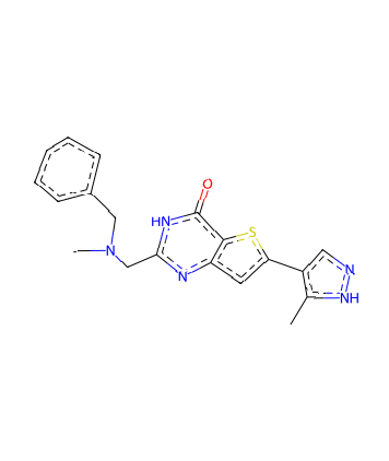 Cc1[nH]ncc1-c1cc2nc(CN(C)Cc3ccccc3)[nH]c(=O)c2s1